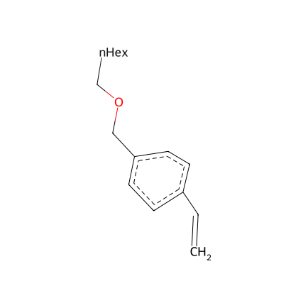 C=Cc1ccc(COCCCCCCC)cc1